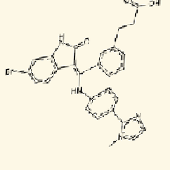 Cn1ccnc1-c1ccc(NC(=C2C(=O)Nc3cc(Br)ccc32)c2cccc(CCC(=O)O)c2)cc1